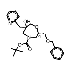 CC(C)(C)OC(=O)N1C[C@@H](COCc2ccccc2)OCC(O)(Cc2ccccn2)C1